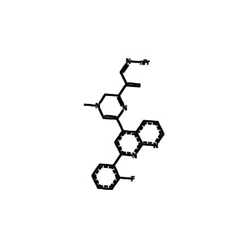 C=C(/C=N\CCC)C1=NC(c2cc(-c3ccccc3F)nc3ncccc23)=CN(C)C1